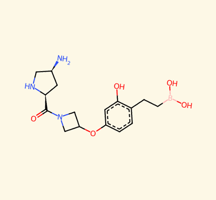 N[C@@H]1CN[C@H](C(=O)N2CC(Oc3ccc(CCB(O)O)c(O)c3)C2)C1